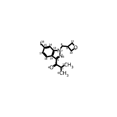 CC(C)C(=O)c1nn(CC2COC2)c2cc(I)ccc12